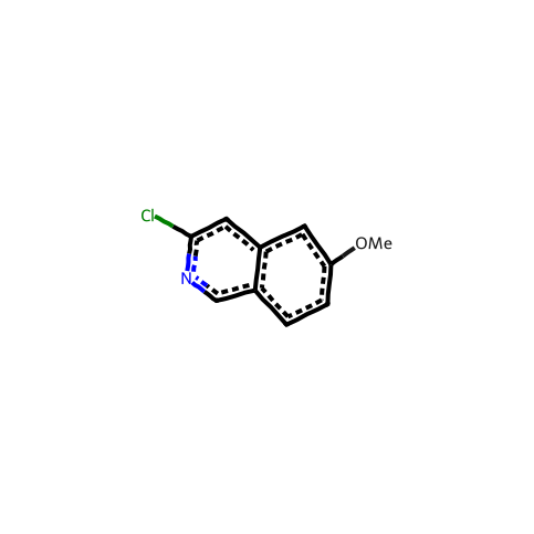 COc1ccc2cnc(Cl)cc2c1